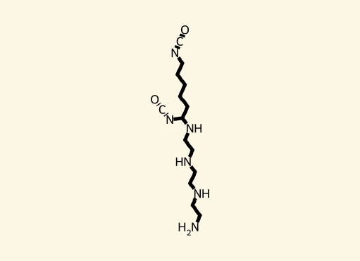 NCCNCCNCCNC(CCCCCN=C=O)N=C=O